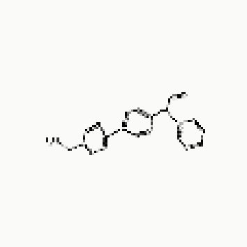 NCc1ccc(-c2ccc(C(C=O)c3ccccc3)cc2)cn1